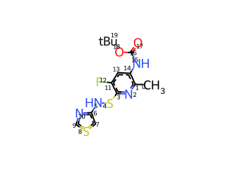 Cc1nc(SNc2cscn2)c(F)cc1NC(=O)OC(C)(C)C